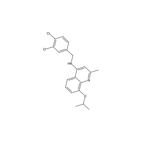 Cc1cc(NCc2ccc(Cl)c(Cl)c2)c2cccc(OC(C)C)c2n1